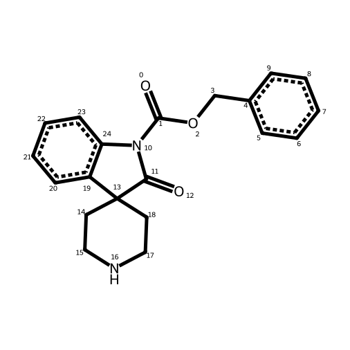 O=C(OCc1ccccc1)N1C(=O)C2(CCNCC2)c2ccccc21